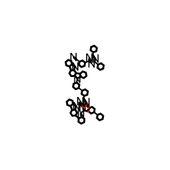 N#Cc1cc(-c2nc(-c3ccccc3)nc(-c3ccccc3)n2)ccc1-n1c2ccccc2c2ccc3c(c4ccccc4n3-c3cccc(-c4cccc(-c5nc(-c6ccc(-c7ccccc7)cc6)nc(-n6c7ccccc7c7ccc8c9ccccc9n(-c9ccccc9)c8c76)n5)c4)c3)c21